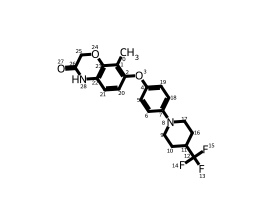 Cc1c(Oc2ccc(N3CCC(C(F)(F)F)CC3)cc2)ccc2c1OCC(=O)N2